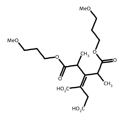 COCCCOC(=O)C(C)C(=C(CC(=O)O)C(=O)O)C(C)C(=O)OCCCOC